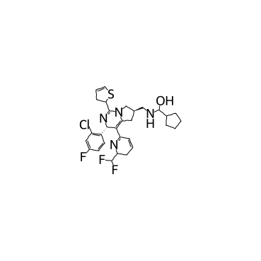 OC(NC[C@H]1CC2=C(C3=NC(C(F)F)CC=C3)[C@H](c3ccc(F)cc3Cl)N=C(C3CC=CS3)N2C1)C1CCCC1